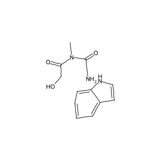 CN(C(N)=O)C(=O)CO.c1ccc2[nH]ccc2c1